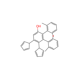 Cc1cccc(C)c1-c1c(O)cc(C2C=CC=C2)c(C2C=CC=C2)c1-c1c(C)cccc1C